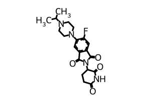 CC(C)N1CCN(c2cc3c(cc2F)C(=O)N(C2CCC(=O)NC2=O)C3=O)CC1